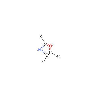 CC(=O)c1oc(C)nc1C